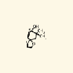 CC1(C)CC2(C=C[C@H]1O)OCCO2